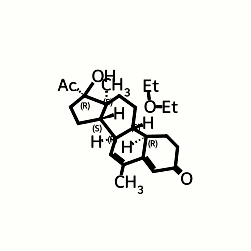 CC(=O)[C@@]1(O)CC[C@H]2[C@@H]3C=C(C)C4=CC(=O)CC[C@@H]4[C@H]3CC[C@@]21C.CCOCC